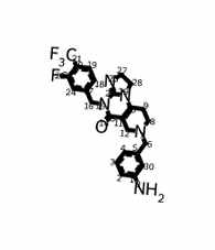 Nc1cccc(CN2CCC3=C(C2)C(=O)N(Cc2ccc(C(F)(F)F)c(F)c2)C2=NCCN23)c1